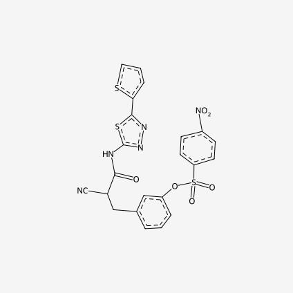 N#CC(Cc1cccc(OS(=O)(=O)c2ccc([N+](=O)[O-])cc2)c1)C(=O)Nc1nnc(-c2cccs2)s1